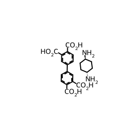 N[C@H]1CC[C@H](N)CC1.O=C(O)c1ccc(-c2ccc(C(=O)O)c(C(=O)O)c2)cc1C(=O)O